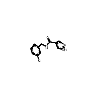 O=C(NCc1cccc(Cl)c1)c1cn[nH]c1